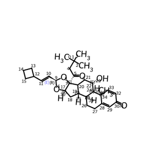 CC(C)(C)CC(=O)[C@@]12O[C@H](/C=C/C3CCC3)O[C@@H]1C[C@@H]1C2C[C@H](O)[C@H]2[C@H]1CCC1=CC(=O)C=C[C@@]12C